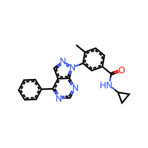 Cc1ccc(C(=O)NC2CC2)cc1-n1ncc2c(-c3ccccc3)ncnc21